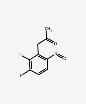 CC(=O)Cc1c(N=O)ccc(F)c1F